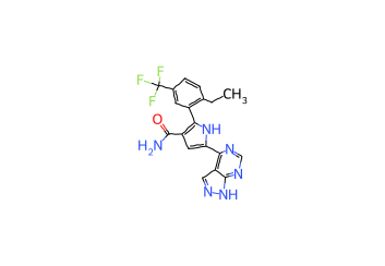 CCc1ccc(C(F)(F)F)cc1-c1[nH]c(-c2ncnc3[nH]ncc23)cc1C(N)=O